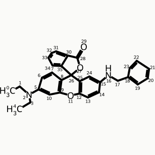 CCN(CC)c1ccc2c(c1)Oc1ccc(NCc3ccccc3)cc1C21OC(=O)c2ccccc21